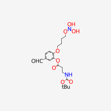 CC(C)(C)OC(=O)NCCC(=O)Oc1cc(C=O)ccc1OCCCCON(O)O